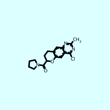 Cc1nc(Cl)c2cc3c(cc2n1)CCC(C(=O)N1CCCC1)O3